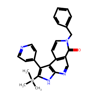 C[Si](C)(C)c1[nH]c2ncc3c(=O)n(Cc4ccccc4)ccc3c2c1-c1ccncc1